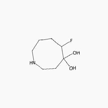 OC1(O)CCNCCCC1F